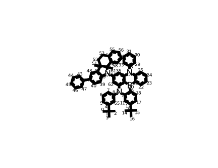 CC(C)(C)c1cccc(N2c3cc(C(C)(C)C)ccc3B3c4ccccc4N(c4ccccc4)c4cc(N5c6ccc(-c7ccccc7)cc6C6(C)CCc7ccccc7C56C)cc2c43)c1